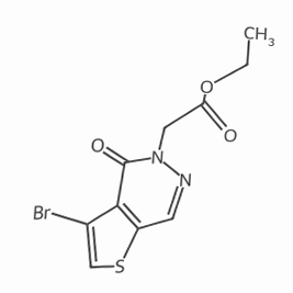 CCOC(=O)Cn1ncc2scc(Br)c2c1=O